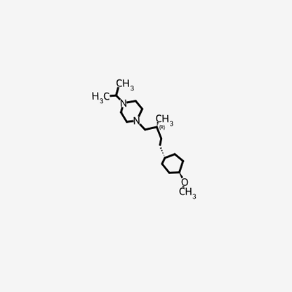 CO[C@H]1CC[C@H](CC[C@@H](C)CN2CCN(C(C)C)CC2)CC1